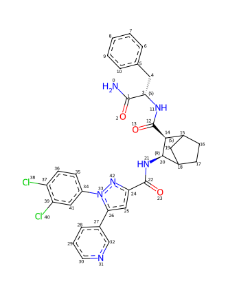 NC(=O)[C@H](Cc1ccccc1)NC(=O)[C@H]1C2CCC(C2)[C@H]1NC(=O)c1cc(-c2cccnc2)n(-c2ccc(Cl)c(Cl)c2)n1